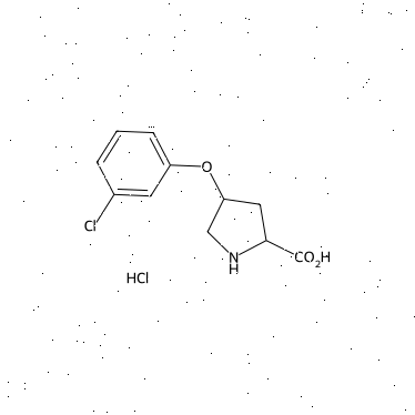 Cl.O=C(O)C1CC(Oc2cccc(Cl)c2)CN1